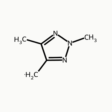 [CH2]c1nn(C)nc1C